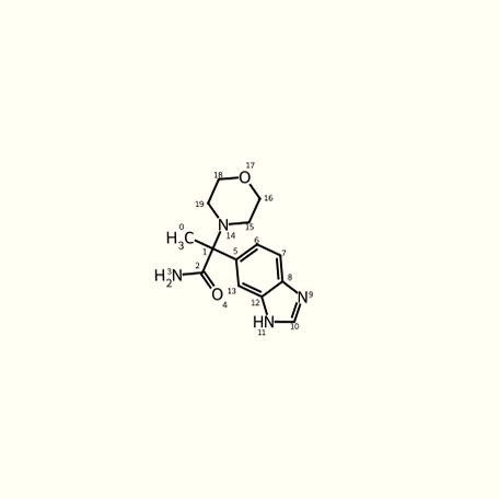 CC(C(N)=O)(c1ccc2nc[nH]c2c1)N1CCOCC1